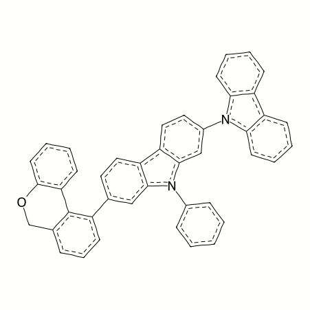 c1ccc(-n2c3cc(-c4cccc5c4-c4ccccc4OC5)ccc3c3ccc(-n4c5ccccc5c5ccccc54)cc32)cc1